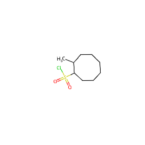 CC1CCCCCCC1S(=O)(=O)Cl